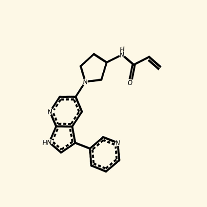 C=CC(=O)NC1CCN(c2cnc3[nH]cc(-c4cccnc4)c3c2)C1